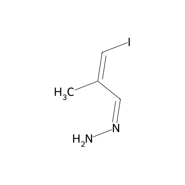 CC(/C=N\N)=C/I